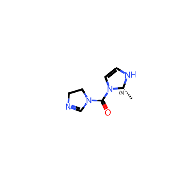 C[C@H]1NC=CN1C(=O)N1C=NCC1